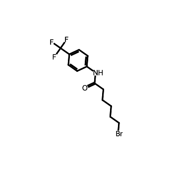 O=C(CCCCCBr)Nc1ccc(C(F)(F)F)cc1